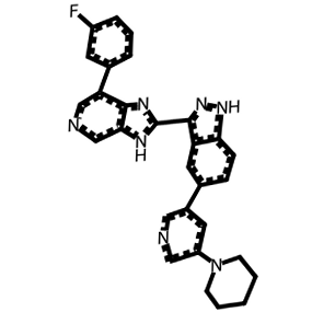 Fc1cccc(-c2cncc3[nH]c(-c4n[nH]c5ccc(-c6cncc(N7CCCCC7)c6)cc45)nc23)c1